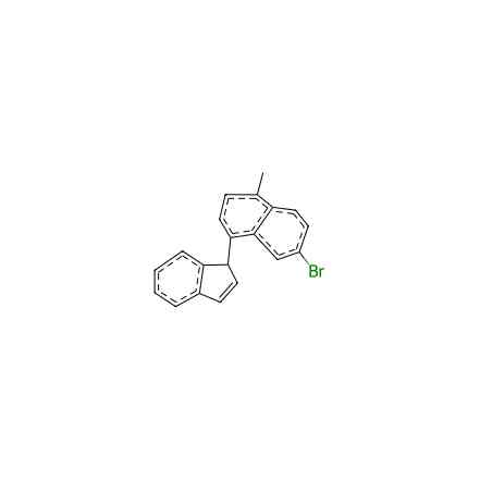 Cc1ccc(C2C=Cc3ccccc32)c2cc(Br)ccc12